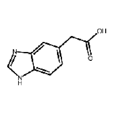 O=C(O)Cc1ccc2[nH]cnc2c1